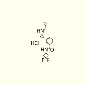 Cl.O=C(NC1CC(F)(F)C1)c1cccc([C@@H]2C[C@H]2NCC2CC2)c1